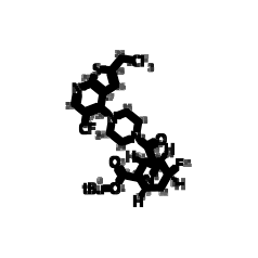 CC(C)(C)OC(=O)N1[C@H]2CC[C@@H]([C@H]1C(=O)N1CCN(c3c(C(F)(F)F)cnc4sc(CC(F)(F)F)cc34)CC1)[C@@H](F)C2